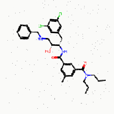 CCCN(CCC)C(=O)c1cc(C)cc(C(=O)N[C@@H](Cc2cc(Cl)cc(Cl)c2)[C@H](O)CNCc2ccccc2)c1